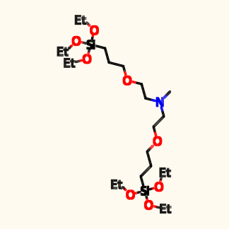 CCO[Si](CCCOCCN(C)CCOCCC[Si](OCC)(OCC)OCC)(OCC)OCC